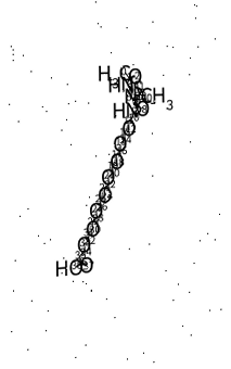 CC(=O)Nc1nc([S+]([O-])NCCOCCOCCOCCOCCOCCOCCOCCOCCC(=O)O)c(C)s1